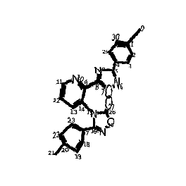 Cc1ccc(-c2noc(-c3ncccc3-n3c(-c4ccc(C)cc4)noc3=O)n2)cc1